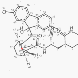 N#C[C@H](C[C@@H]1CCCNC1=O)NC(=O)[C@@H]1[C@H]2CC[C@H](CC2(F)F)N1C(=O)C1(O)c2cc(Cl)ccc2-c2ccc(Cl)cc21